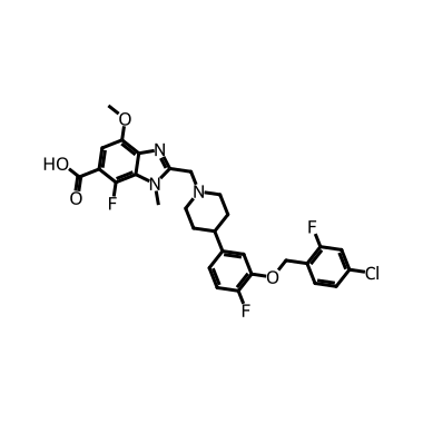 COc1cc(C(=O)O)c(F)c2c1nc(CN1CCC(c3ccc(F)c(OCc4ccc(Cl)cc4F)c3)CC1)n2C